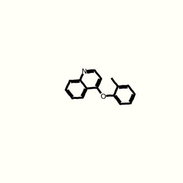 Cc1ccccc1Oc1ccnc2ccccc12